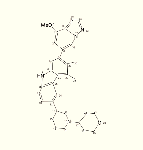 COc1cc(-c2cc3[nH]c4ccc(C5CCCN(C6CCOCC6)C5)cc4c3c(C)c2C)cn2ncnc12